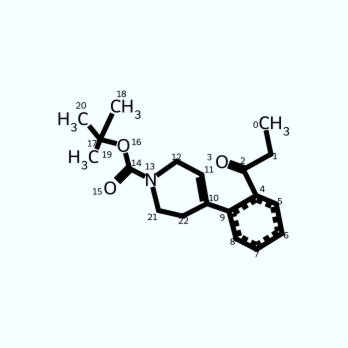 CCC(=O)c1ccccc1C1=CCN(C(=O)OC(C)(C)C)CC1